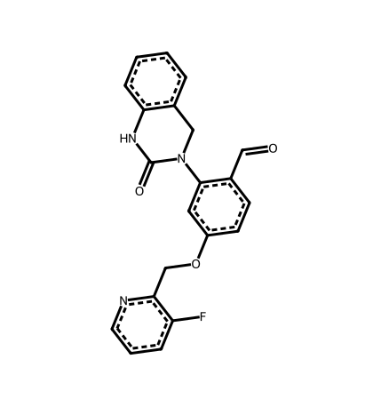 O=Cc1ccc(OCc2ncccc2F)cc1N1Cc2ccccc2NC1=O